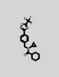 O=C(C1CCCCC1)N(Cc1ccc(-c2noc(C(F)(F)F)n2)cc1)C1CC1